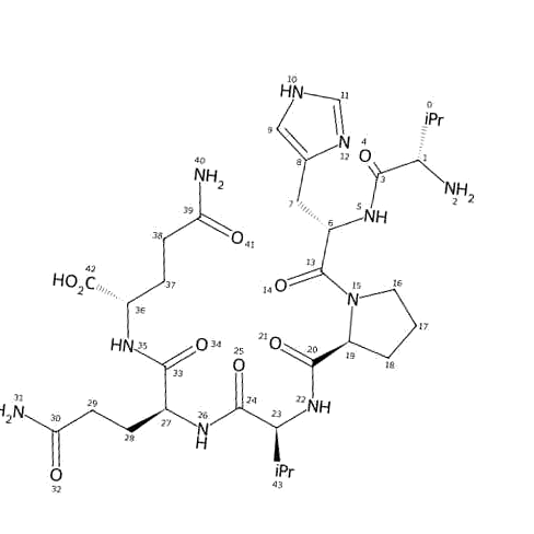 CC(C)[C@H](N)C(=O)N[C@@H](Cc1c[nH]cn1)C(=O)N1CCC[C@H]1C(=O)N[C@H](C(=O)N[C@@H](CCC(N)=O)C(=O)N[C@@H](CCC(N)=O)C(=O)O)C(C)C